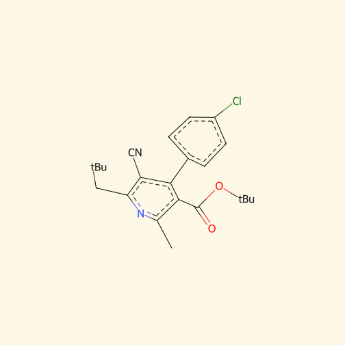 Cc1nc(CC(C)(C)C)c(C#N)c(-c2ccc(Cl)cc2)c1C(=O)OC(C)(C)C